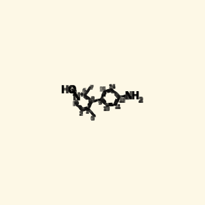 Cc1cc[n+](O)c(C)c1-c1ccc(N)cc1